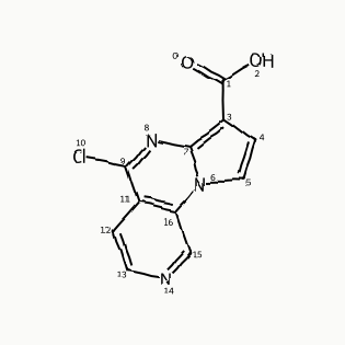 O=C(O)c1ccn2c1nc(Cl)c1ccncc12